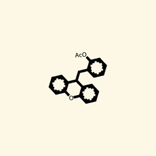 CC(=O)Oc1ccccc1CC1c2ccccc2Oc2ccccc21